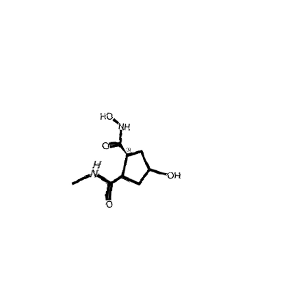 CNC(=O)C1CC(O)C[C@@H]1C(=O)NO